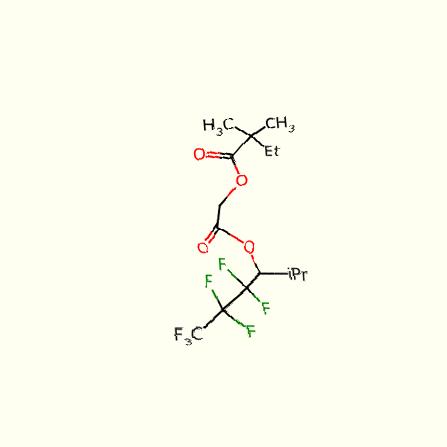 CCC(C)(C)C(=O)OCC(=O)OC(C(C)C)C(F)(F)C(F)(F)C(F)(F)F